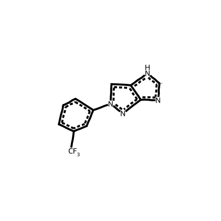 FC(F)(F)c1cccc(-n2cc3[nH][c]nc3n2)c1